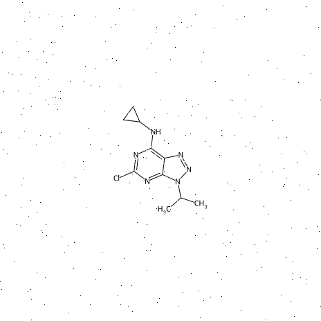 CC(C)n1nnc2c(NC3CC3)nc(Cl)nc21